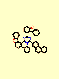 c1ccc(-c2ccc3oc4ccccc4c3c2-c2nc(-c3ccc4c(ccc5ccccc54)c3)nc(-c3cccc4oc5ccccc5c34)n2)cc1